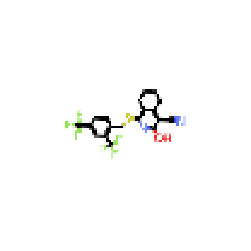 N#Cc1c(O)nc(SCc2ccc(C(F)(F)F)cc2C(F)(F)F)c2c1CCCC2